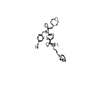 N#Cc1ccc(CN(C(=O)CC2CCOCC2)c2ncc(C(=O)NCCCn3ccnc3)s2)cc1